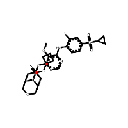 COc1c(Nc2ccc(S(=O)(=O)C3CC3)cc2F)ncnc1OC1CC2COCC(C1)N2C(=O)OC1CCC1